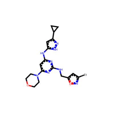 CCc1cc(CNc2nc(Nc3cc(C4CC4)n[nH]3)cc(N3CCOCC3)n2)on1